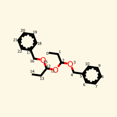 CCC(OCc1ccccc1)OC(CC)OCc1ccccc1